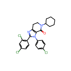 O=C1c2c(nc(-c3ccc(Cl)cc3Cl)n2-c2ccc(Cl)cc2)CCN1C1CCCCC1